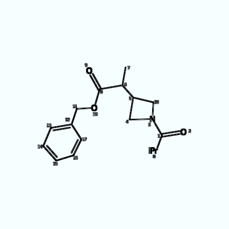 CC(C)C(=O)N1CC(C(C)C(=O)OCc2ccccc2)C1